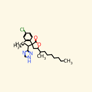 CCCCCCCC(C)C1CC(c2ccc(Cl)cc2C)(C(CC)c2nc[nH]n2)C(=O)O1